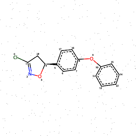 ClC1=NO[C@H](c2ccc(Oc3ccccc3)cc2)C1